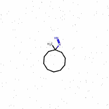 CC1(N=N)CCCCCCCCC1